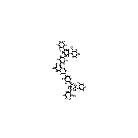 Cc1ccccc1-c1nc(-c2ccc(-c3ccc4c(-c5ccc(-c6nc(-c7ccccc7C)nc(-c7ccccc7C)n6)cc5)cccc4c3)cc2)nc(-c2ccccc2C)n1